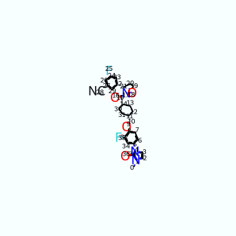 Cn1ccn(-c2ccc(OC[C@H]3CC[C@H](C(=O)N4OCC[C@H]4c4cc(F)cc(C#N)c4)CC3)c(F)c2)c1=O